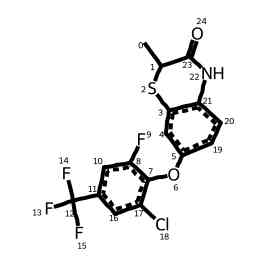 CC1Sc2cc(Oc3c(F)cc(C(F)(F)F)cc3Cl)ccc2NC1=O